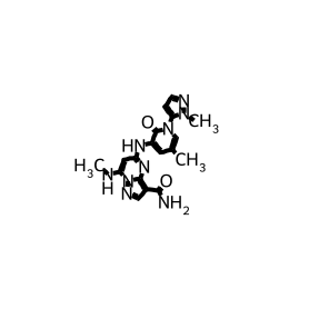 CNc1cc(Nc2cc(C)cn(-c3ccnn3C)c2=O)nc2c(C(N)=O)cnn12